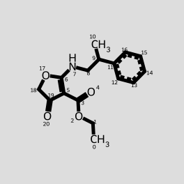 CCOC(=O)C1=C(NCC(C)c2ccccc2)OCC1=O